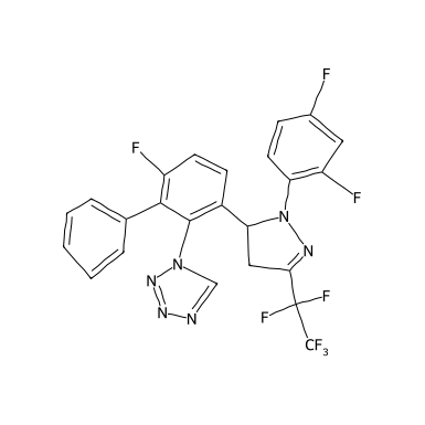 Fc1ccc(N2N=C(C(F)(F)C(F)(F)F)CC2c2ccc(F)c(-c3ccccc3)c2-n2cnnn2)c(F)c1